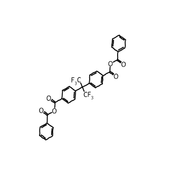 O=C(OC(=O)c1ccc(C(c2ccc(C(=O)OC(=O)c3ccccc3)cc2)(C(F)(F)F)C(F)(F)F)cc1)c1ccccc1